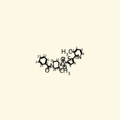 Cc1cccnc1-c1ccc(S(=O)(=O)N2CCN(C(=O)c3ccccc3)CC2C)s1